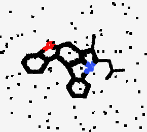 Cc1c(CC(C)C)n2c3ccccc3c3c4c(cc1c32)oc1ccccc14